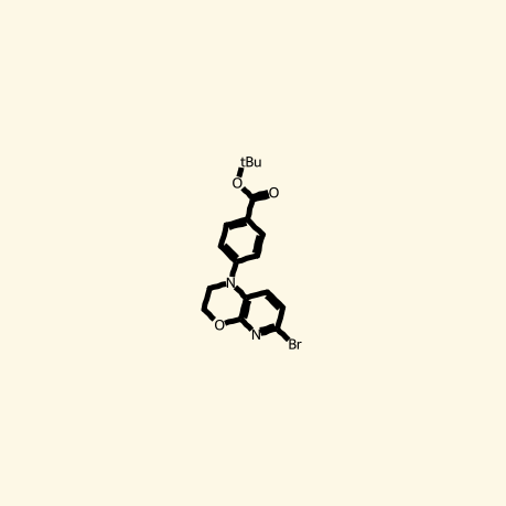 CC(C)(C)OC(=O)c1ccc(N2CCOc3nc(Br)ccc32)cc1